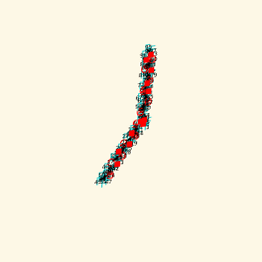 CC(C(F)(F)F)(C(F)(F)OC(F)(F)C(F)(F)OC(F)(F)C(F)(F)OC(F)(F)C(F)(F)OC(F)(F)C(F)(F)OC(F)(F)C(F)(F)OC(F)(F)C(F)(F)F)C(F)(F)OC(F)(F)C(F)(F)OC(F)(F)C(F)(F)OC(F)(F)C(F)(F)OC(F)(F)C(F)(F)OC(F)(F)C(F)(F)OC(F)(F)C(F)(F)F